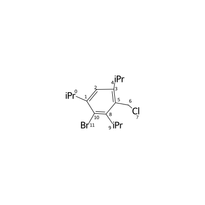 CC(C)c1cc(C(C)C)c(CCl)c(C(C)C)c1Br